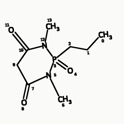 CCCP1(=O)N(C)C(=O)CC(=O)N1C